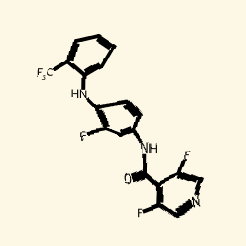 O=C(Nc1ccc(Nc2ccccc2C(F)(F)F)c(F)c1)c1c(F)cncc1F